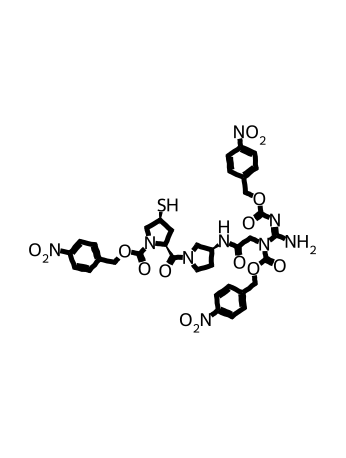 NC(=NC(=O)OCc1ccc([N+](=O)[O-])cc1)N(CC(=O)N[C@H]1CCN(C(=O)[C@@H]2C[C@H](S)CN2C(=O)OCc2ccc([N+](=O)[O-])cc2)C1)C(=O)OCc1ccc([N+](=O)[O-])cc1